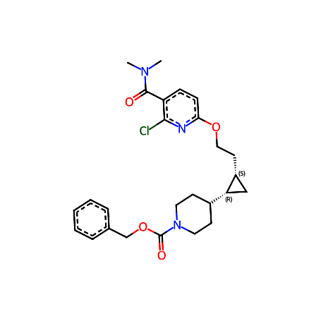 CN(C)C(=O)c1ccc(OCC[C@@H]2C[C@@H]2C2CCN(C(=O)OCc3ccccc3)CC2)nc1Cl